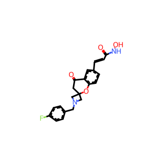 O=C(C=Cc1ccc2c(c1)C(=O)CC1(CN(Cc3ccc(F)cc3)C1)O2)NO